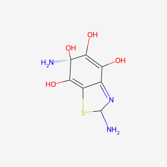 NC1N=C2C(O)=C(O)[C@](N)(O)C(O)=C2S1